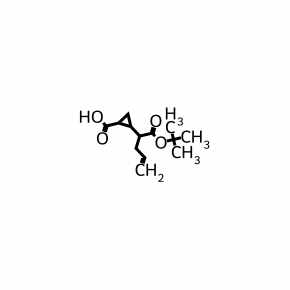 C=CCC(C(=O)OC(C)(C)C)C1CC1C(=O)O